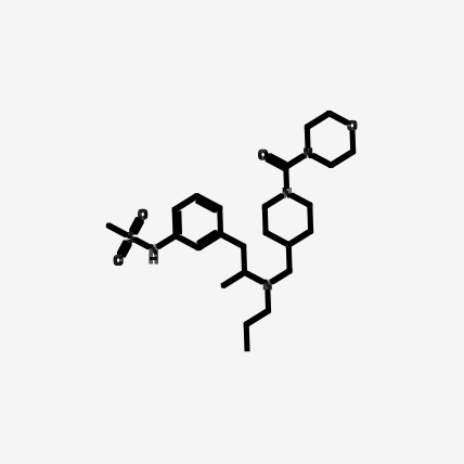 CCCN(CC1CCN(C(=O)N2CCOCC2)CC1)C(C)Cc1cccc(NS(C)(=O)=O)c1